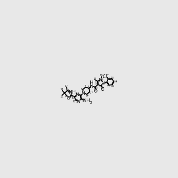 Cc1c(C(=O)NC2CCN(c3nc(C(=O)NC(C)C(C)(C)C)cnc3N)CC2)c(=O)n(-c2ccccc2Cl)n1C